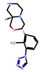 Cc1c([C@H]2CN3CCNC[C@H]3CO2)cccc1-n1cnnn1